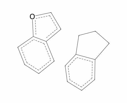 c1ccc2c(c1)CCC2.c1ccc2occc2c1